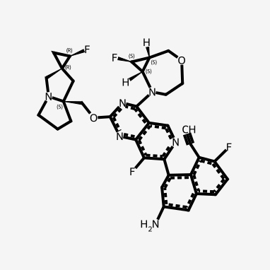 C#Cc1c(F)ccc2cc(N)cc(-c3ncc4c(N5CCOC[C@H]6[C@H](F)[C@H]65)nc(OC[C@@]56CCCN5C[C@]5(C[C@H]5F)C6)nc4c3F)c12